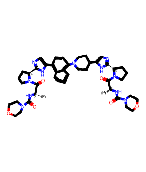 CC(C)[C@H](NC(=O)N1CCOCC1)C(=O)N1CCC[C@H]1c1ncc(-c2ccc(N3CCC(c4cnc([C@@H]5CCCN5C(=O)[C@@H](NC(=O)N5CCOCC5)C(C)C)[nH]4)CC3)c3c2C=C=C=C3)[nH]1